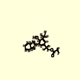 C=C(C)C(=O)OCC(C)(C)c1cc(-n2nc3ccccc3n2)c(O)c(C(C)(C)C)c1